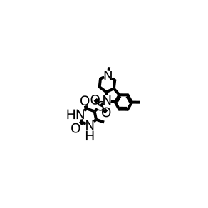 Cc1ccc2c(c1)C1CN(C)CCC1N2S(=O)(=O)C1C(=O)NC(=O)NC1C